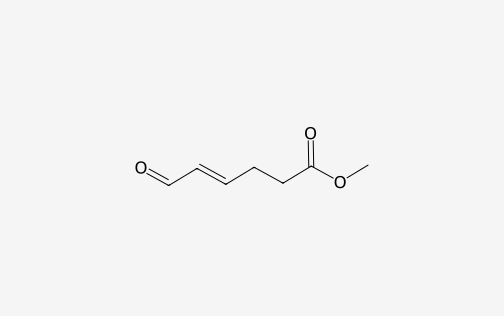 COC(=O)CCC=CC=O